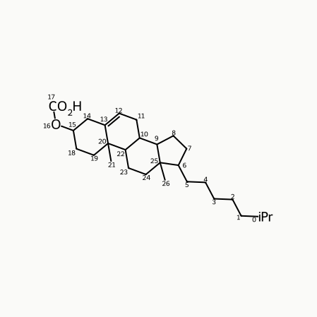 CC(C)CCCCCC1CCC2C3CC=C4CC(OC(=O)O)CCC4(C)C3CCC12C